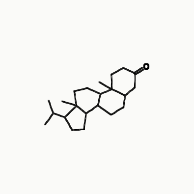 CC(C)C1CCC2C3CCC4CC(=O)CCC4(C)C3CCC12C